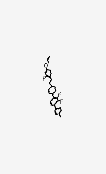 C=CCOc1ccc(CCC2CCC(c3ccc(-c4ccc(C)cc4)c(F)c3F)CC2)c(F)c1